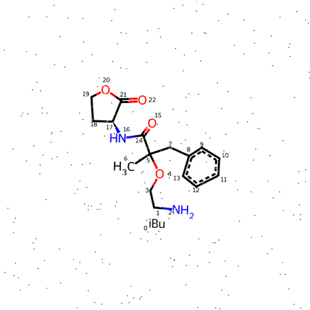 CC[C@H](C)C(N)COC(C)(Cc1ccccc1)C(=O)N[C@H]1CCOC1=O